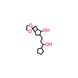 OC(CCC1CC2C(CC23OCCO3)C1O)C1CCCC1